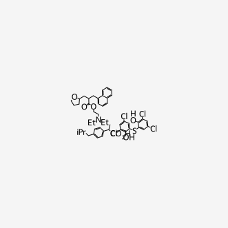 CC(C)Cc1ccc(C(C)C(=O)O)cc1.CCN(CC)CCOC(=O)C(Cc1cccc2ccccc12)CC1CCCO1.Oc1c(Cl)cc(Cl)cc1Sc1cc(Cl)cc(Cl)c1O